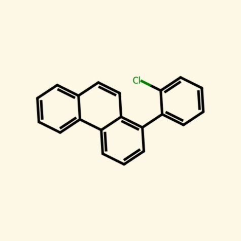 Clc1ccccc1-c1cccc2c1ccc1ccccc12